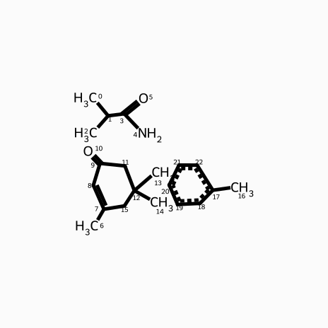 CC(C)C(N)=O.CC1=CC(=O)CC(C)(C)C1.Cc1ccccc1